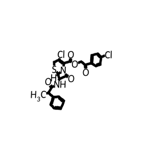 CC(C(=O)NC1C(=O)N2C(C(=O)OCC(=O)c3ccc(Cl)cc3)=C(Cl)CS[C@@H]12)c1ccccc1